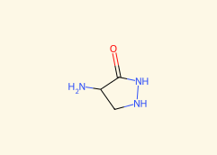 NC1CNNC1=O